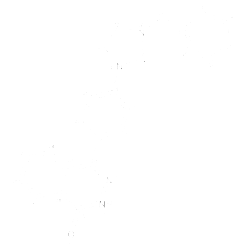 O=c1[nH]nc(-c2ccc(N3CCN(Cc4ccccc4)C3)cc2)c2ccccc12